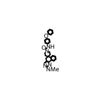 CNc1ncc2c(n1)-c1ccccc1C1(CCN(C(=O)Nc3ccc(Oc4ccccc4)cc3)CC1)C2